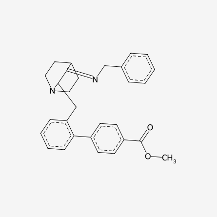 COC(=O)c1ccc(-c2ccccc2CC2C(=NCc3ccccc3)C3CCN2CC3)cc1